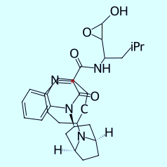 CC(C)CC(NC(=O)c1nc2ccccc2n([C@H]2C[C@H]3CC[C@@H](C2)N3C2CCCCCCC2)c1=O)C1OC1O